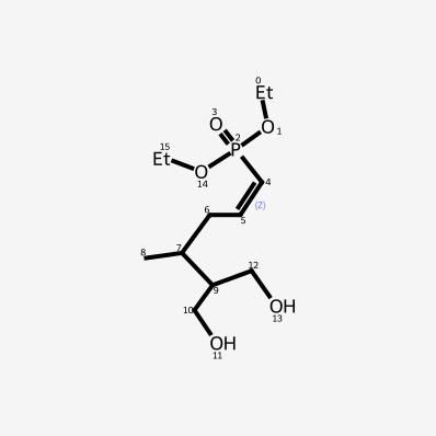 CCOP(=O)(/C=C\CC(C)C(CO)CO)OCC